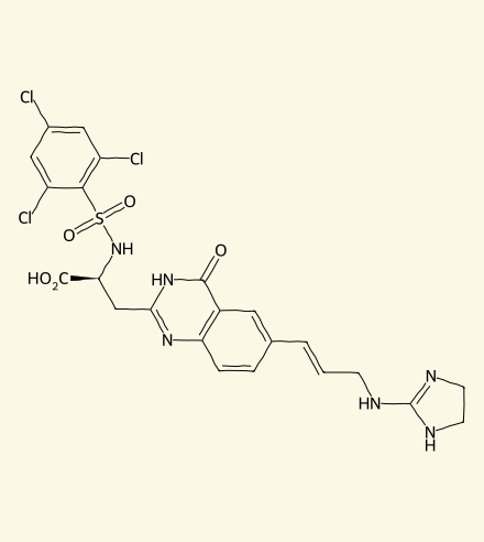 O=C(O)[C@H](Cc1nc2ccc(C=CCNC3=NCCN3)cc2c(=O)[nH]1)NS(=O)(=O)c1c(Cl)cc(Cl)cc1Cl